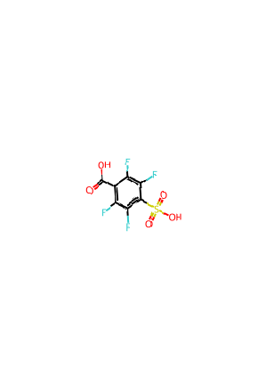 O=C(O)c1c(F)c(F)c(S(=O)(=O)O)c(F)c1F